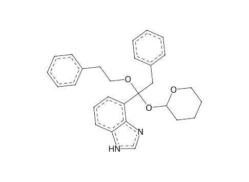 c1ccc(CCOC(Cc2ccccc2)(OC2CCCCO2)c2cccc3[nH]cnc23)cc1